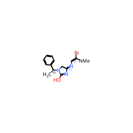 CN/C(Br)=C\N=C1/CN([C@@H](C)c2ccccc2)C(O)=N1